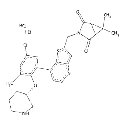 Cc1cc(Cl)cc(-c2ccnc3cc(CN4C(=O)C5C(C4=O)C5(C)C)sc23)c1O[C@H]1CCCNC1.Cl.Cl